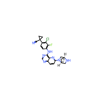 N#CC1(c2ccc(Nc3ncnc4ccc(N5C[C@@H]6C[C@H]5CN6)nc34)c(F)c2Cl)CC1